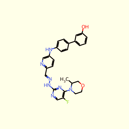 CC1COCCN1c1nc(N/N=C/c2ccc(Nc3ccc(-c4cccc(O)c4)cc3)cn2)ncc1F